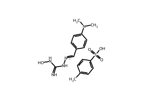 CN(C)c1ccc(/C=N/NC(=N)NO)cc1.Cc1ccc(S(=O)(=O)O)cc1